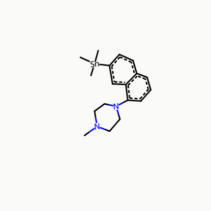 CN1CCN(c2cccc3cc[c]([Sn]([CH3])([CH3])[CH3])cc23)CC1